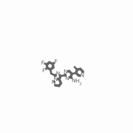 Cc1ccncc1-c1cnc(-c2nc(Cc3cc(F)cc(F)c3F)n3ncccc23)nc1N